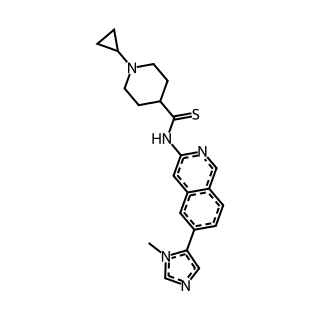 Cn1cncc1-c1ccc2cnc(NC(=S)C3CCN(C4CC4)CC3)cc2c1